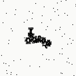 CC(C)n1nnnc1-c1nc(NC(=O)c2cc(-n3cnc(C4CC4)c3)c(N3CCCCC3)cn2)cs1